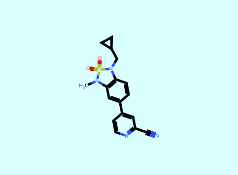 CN1c2cc(-c3ccnc(C#N)c3)ccc2N(CC2CC2)S1(=O)=O